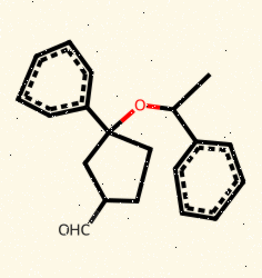 CC(OC1(c2ccccc2)CCC(C=O)C1)c1ccccc1